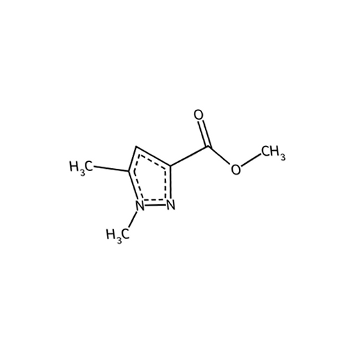 COC(=O)c1cc(C)n(C)n1